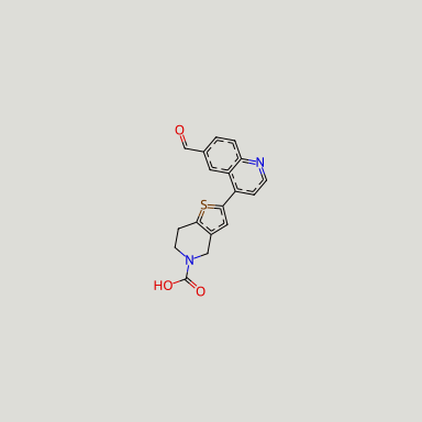 O=Cc1ccc2nccc(-c3cc4c(s3)CCN(C(=O)O)C4)c2c1